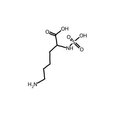 NCCCCC(NS(=O)(=O)O)C(=O)O